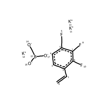 C=Cc1ccc(F)c(F)c1F.[K+].[K+].[K+].[O-]B([O-])[O-]